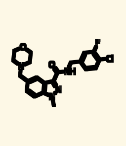 Cn1nc(C(=O)NCc2ccc(Cl)c(F)c2)c2cc(CN3CCOCC3)ccc21